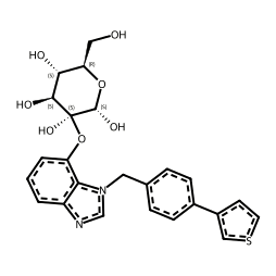 OC[C@H]1O[C@H](O)[C@@](O)(Oc2cccc3ncn(Cc4ccc(-c5ccsc5)cc4)c23)[C@@H](O)[C@@H]1O